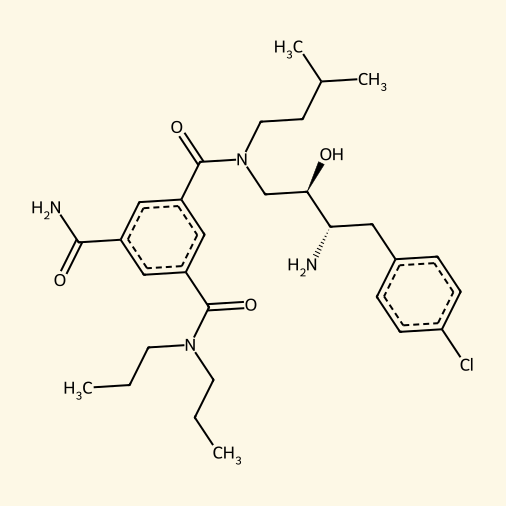 CCCN(CCC)C(=O)c1cc(C(N)=O)cc(C(=O)N(CCC(C)C)C[C@@H](O)[C@@H](N)Cc2ccc(Cl)cc2)c1